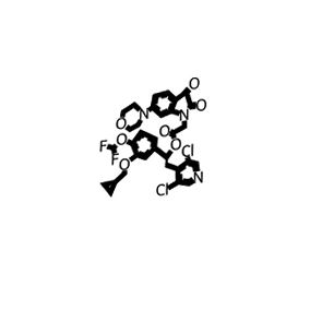 O=C(CN1C(=O)C(=O)c2ccc(N3CCOCC3)cc21)O[C@@H](Cc1c(Cl)cncc1Cl)c1ccc(OC(F)F)c(OCC2CC2)c1